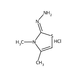 Cc1csc(=NN)n1C.Cl